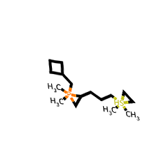 CP1(C)(CC2CCC2)CC1CCC[SH]1(C)(C)CC1